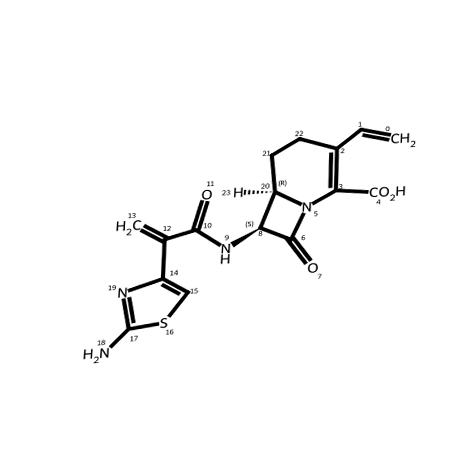 C=CC1=C(C(=O)O)N2C(=O)[C@@H](NC(=O)C(=C)c3csc(N)n3)[C@H]2CC1